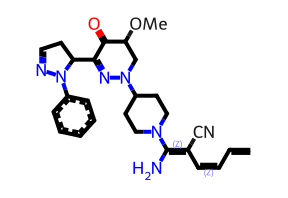 C=C/C=C\C(C#N)=C(/N)N1CCC(N2CC(OC)C(=O)C(C3CC=NN3c3ccccc3)=N2)CC1